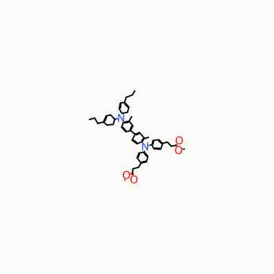 CCCC1=CCC(N(c2ccc(-c3ccc(N(c4ccc(CCC(=O)OC)cc4)c4ccc(CCC(=O)OC)cc4)c(C)c3)cc2C)C2CC=C(CCC)CC2)C=C1